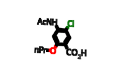 CCCOc1cc(NC(C)=O)c(Cl)cc1C(=O)O